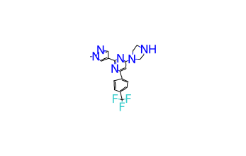 Cn1cc(-c2nc(-c3ccc(C(F)(F)F)cc3)cc(N3CCNCC3)n2)cn1